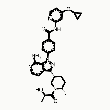 C[C@@H](O)C(=O)N1C[C@H](c2nn(-c3ccc(C(=O)Nc4cc(OC5CC5)ccn4)cc3)c3c(N)nccc23)CC[C@@H]1C